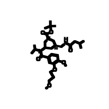 COCCCOc1cc(C(=O)N(C(C)C)C2C[C@H](CNC(=O)CC(C)C)CN(C(=O)OC(C)(C)C)C2)ccc1OC